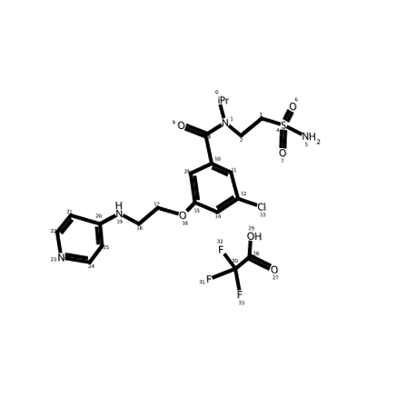 CC(C)N(CCS(N)(=O)=O)C(=O)c1cc(Cl)cc(OCCNc2ccncc2)c1.O=C(O)C(F)(F)F